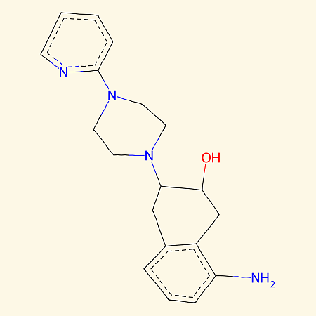 Nc1cccc2c1CC(O)C(N1CCN(c3ccccn3)CC1)C2